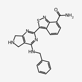 NC(=O)c1cccc2c(-c3nc4c(c(NCc5ccccc5)n3)CNC4)snc12